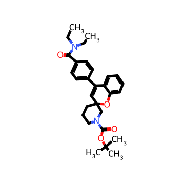 CCN(CC)C(=O)c1ccc(C2=CC3(CCCN(C(=O)OC(C)(C)C)C3)Oc3ccccc32)cc1